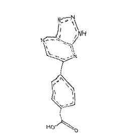 O=C(O)c1ccc(-c2cnc3nn[nH]c3n2)cc1